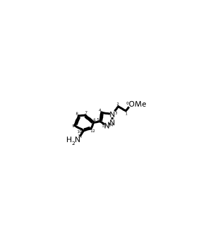 COCCn1cc(-c2cccc(N)c2)nn1